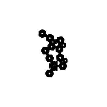 c1ccc(-c2ccc(-c3nc(-c4ccccc4)nc(-c4cccc5oc6cc(-c7ccc8c(c7)oc7cccc(-n9c%10ccccc%10c%10cc(-c%11ccccc%11)ccc%109)c78)ccc6c45)n3)cc2)cc1